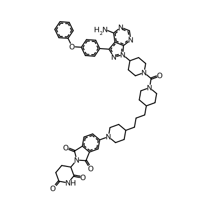 Nc1ncnc2c1c(-c1ccc(Oc3ccccc3)cc1)nn2C1CCN(C(=O)N2CCC(CCCC3CCN(c4ccc5c(c4)C(=O)N(C4CCC(=O)NC4=O)C5=O)CC3)CC2)CC1